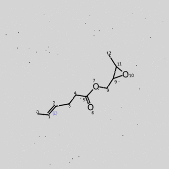 C/C=C/CCC(=O)OCC1OC1C